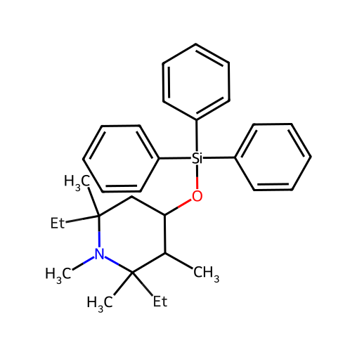 CCC1(C)CC(O[Si](c2ccccc2)(c2ccccc2)c2ccccc2)C(C)C(C)(CC)N1C